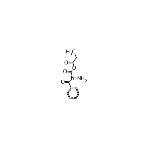 CCC(=O)OC(=O)N(N)C(=O)c1ccccc1